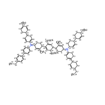 CCCCCCC1=CC(C2CCC(N(C3=CC=C(C4C=CC(CC(C)C)CC4)CC3)C3C=CC(C4C=CC(C(C)(C)C)CC4)CC3)C=C2C)C(CCCCCC)C=C1C1CCC(N(C2=CCC(C3C=CC(C(C)(C)C)=CC3)C=C2)c2ccc(-c3ccc(CC(C)C)cc3)cc2)C=C1C